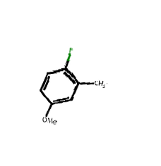 [CH2]c1cc(OC)ccc1F